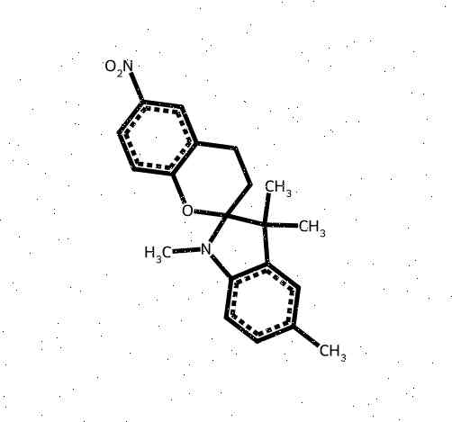 Cc1ccc2c(c1)C(C)(C)C1(CCc3cc([N+](=O)[O-])ccc3O1)N2C